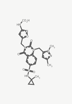 Cc1cc(Cn2c(=O)n(Cc3cc(NC(=O)O)no3)c(=O)c3cc(S(=O)(=O)NC4(C)CC4)ccc32)n(C)n1